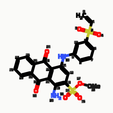 C=CS(=O)(=O)c1cccc(Nc2cc(S(=O)(=O)OOC)c(N)c3c2C(=O)c2ccccc2C3=O)c1